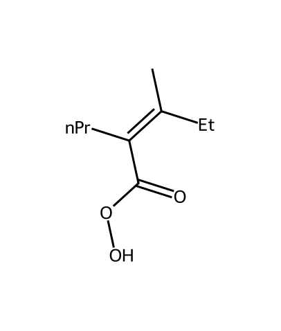 CCCC(C(=O)OO)=C(C)CC